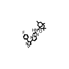 CC1CC2(C)CC(C)(C)CC(C(=O)Nc3cn4nc(-c5cn(C)nc5-c5ccc(F)cc5)ccc4n3)(C1)C2